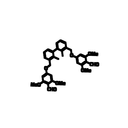 COc1cc(OCc2cccc(-c3cccc(COc4cc(OC)c(C=O)c(OC)c4)c3C)c2C)cc(OC)c1C=O